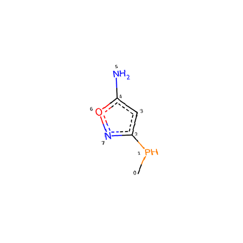 CPc1cc(N)on1